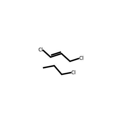 CCCCl.ClC=CCCl